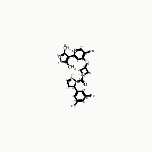 Cc1nsc(C)c1-c1cc(OC2CN(C(=O)N3N=CCC3c3cc(F)cc(F)c3)C2)c(F)cn1